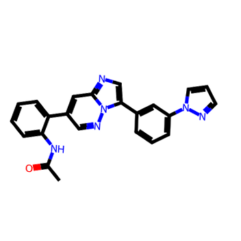 CC(=O)Nc1ccccc1-c1cnn2c(-c3cccc(-n4cccn4)c3)cnc2c1